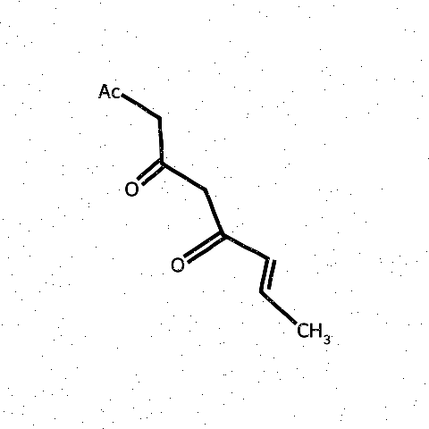 CC=CC(=O)CC(=O)CC(C)=O